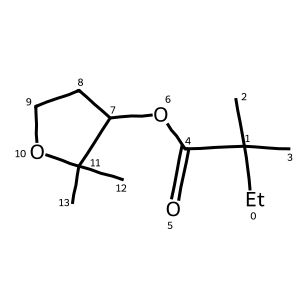 CCC(C)(C)C(=O)OC1CCOC1(C)C